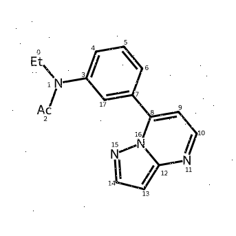 CCN(C(C)=O)c1cccc(-c2ccnc3ccnn23)c1